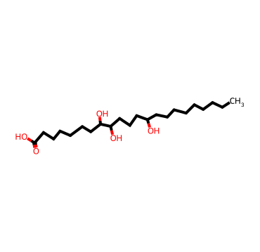 CCCCCCCCCC(O)CCCC(O)C(O)CCCCCCC(=O)O